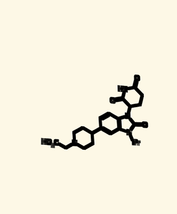 CC(C)n1c(=O)n(C2CCC(=O)NC2=O)c2ccc(C3CCN(CC(=O)O)CC3)cc21